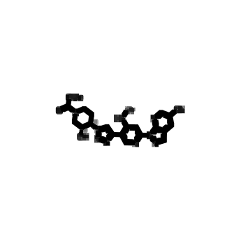 COC(=O)N1CC[C@@H](n2cc(-c3cnc(-n4ncc5cc(C#N)cnc54)cc3NC(C)C)nn2)[C@H](O)C1